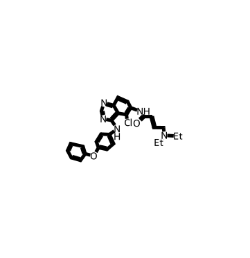 CCN(CC)C/C=C/C(=O)Nc1ccc2ncnc(Nc3ccc(Oc4ccccc4)cc3)c2c1Cl